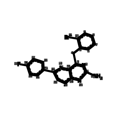 Nc1nc(Cc2ccccc2Br)c2nc(-c3ccc(F)cc3)ccc2n1